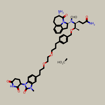 CC(=O)O.C[C@@H](OCc1ccc(CCCOCCOCCCc2ccc3c(c2)n(C)c(=O)n3C2CCC(=O)NC2=O)cc1)[C@H](CCC(N)=O)N(C=O)[C@@H]1Cc2cccc3c2N1C(=O)[C@@H](N)CC3